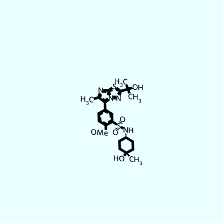 COc1ccc(-c2c(C)nc3sc(C(C)(C)O)nn23)cc1S(=O)(=O)N[C@H]1CC[C@@](C)(O)CC1